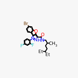 CCC(CC)CCC(C)CNC(=O)c1nn(-c2ccc(F)cc2F)c2c1oc1cc(Br)ccc12